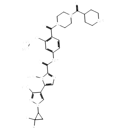 Cn1c(-c2cn(C3CC3(F)F)nc2C(F)(F)F)cnc1C(=O)Nc1ccc(C(=O)N2CCN(C(=O)C3CCNCC3)CC2)c(Cl)c1.O=CO